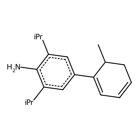 CC1CC=CC=C1c1cc(C(C)C)c(N)c(C(C)C)c1